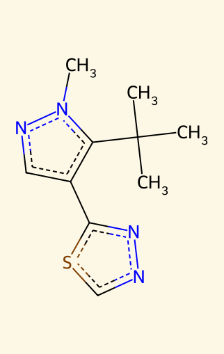 Cn1ncc(-c2nncs2)c1C(C)(C)C